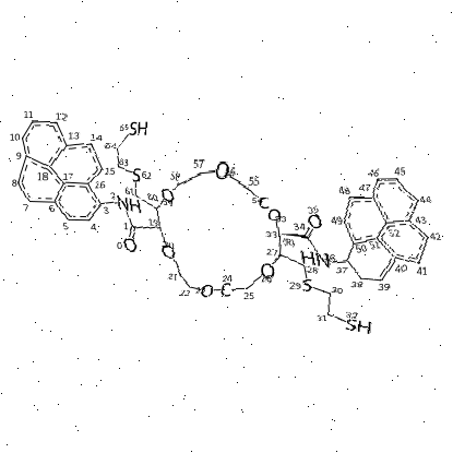 O=C(Nc1ccc2ccc3cccc4ccc1c2c34)C1OCCOCCOC(CSCCS)[C@H](C(=O)NC2CC=c3ccc4cccc5ccc2c3c54)OCCOCCOC1CSCCS